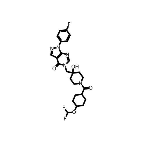 O=C(C1CCC(OC(F)F)CC1)N1CCC(O)(Cn2cnc3c(cnn3-c3ccc(F)cc3)c2=O)CC1